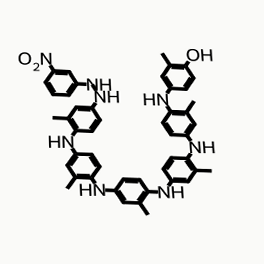 Cc1cc(Nc2ccc(Nc3ccc(Nc4ccc(Nc5ccc(Nc6ccc(NNc7cccc([N+](=O)[O-])c7)cc6C)cc5C)cc4C)cc3C)cc2C)ccc1O